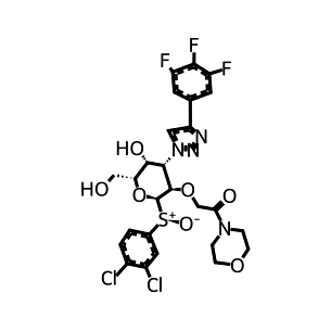 O=C(CO[C@@H]1[C@@H](n2cc(-c3cc(F)c(F)c(F)c3)nn2)[C@@H](O)[C@@H](CO)O[C@@H]1[S@@+]([O-])c1ccc(Cl)c(Cl)c1)N1CCOCC1